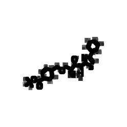 CC(C)(C)OC(=O)c1ccc(COCC(N)C(=O)Nc2nc(-c3ccccc3)cs2)cc1